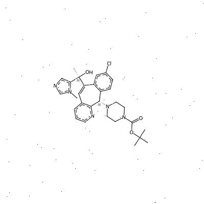 Cn1cncc1[C@@](C)(O)C1=Cc2cccnc2[C@@H](N2CCN(C(=O)OC(C)(C)C)CC2)c2ccc(Cl)cc21